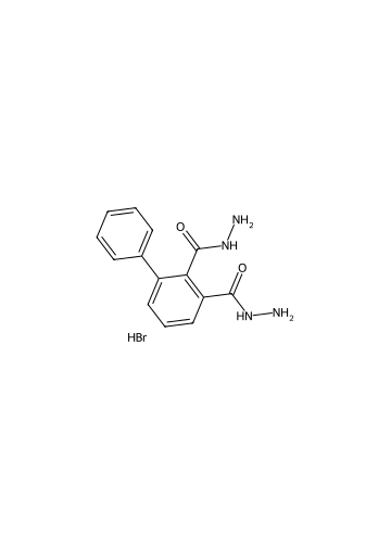 Br.NNC(=O)c1cccc(-c2ccccc2)c1C(=O)NN